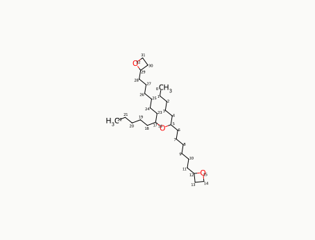 CCCCCC(CCCCCCC1CCO1)OC(CCCCC)CCCCCCC1CCO1